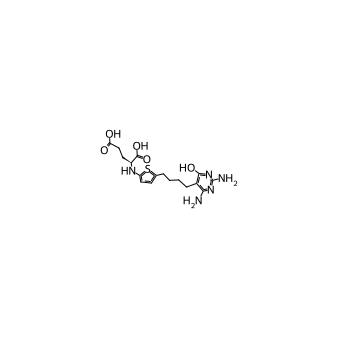 Nc1nc(N)c(CCCCc2ccc(N[C@@H](CCC(=O)O)C(=O)O)s2)c(O)n1